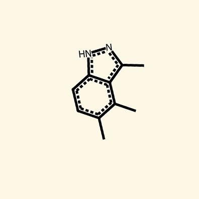 Cc1ccc2[nH]nc(C)c2c1C